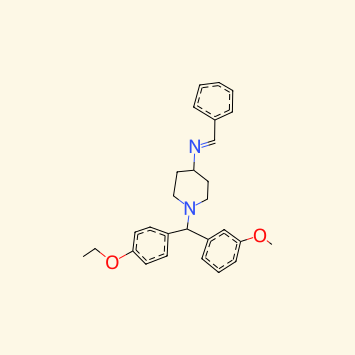 CCOc1ccc(C(c2cccc(OC)c2)N2CCC(N=Cc3ccccc3)CC2)cc1